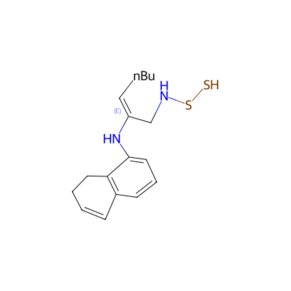 CCCC/C=C(\CNSS)Nc1cccc2c1CCC=C2